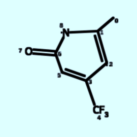 CC1=[C]C(C(F)(F)F)=CC(=O)[N]1